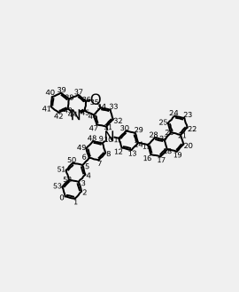 c1ccc2cc(-c3ccc(N(c4ccc(-c5ccc6ccc7ccccc7c6c5)cc4)c4ccc5oc6cc7ccccc7nc6c5c4)cc3)ccc2c1